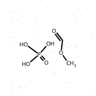 COC=O.O=P(O)(O)O